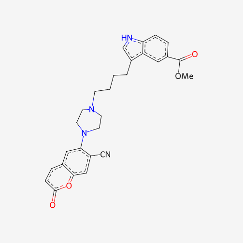 COC(=O)c1ccc2[nH]cc(CCCCN3CCN(c4cc5ccc(=O)oc5cc4C#N)CC3)c2c1